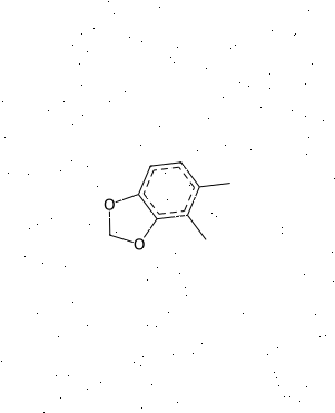 Cc1ccc2c(c1C)OCO2